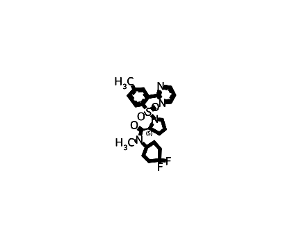 Cc1ccc(S(=O)(=O)N2CCC[C@H]2C(=O)N(C)C2CCC(F)(F)CC2)c(-c2ncccn2)c1